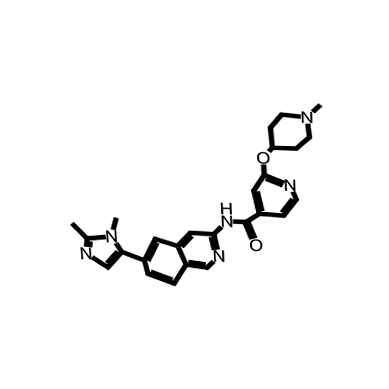 Cc1ncc(-c2ccc3cnc(NC(=O)c4ccnc(OC5CCN(C)CC5)c4)cc3c2)n1C